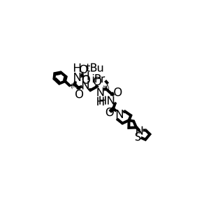 CC(C)C[C@@H](NC(=O)CNC(=O)[C@@H](Cc1ccccc1)NC(=O)OC(C)(C)C)C(=O)NCC(=O)N1CCC2(CC1)CC(N1CCCS1)C2